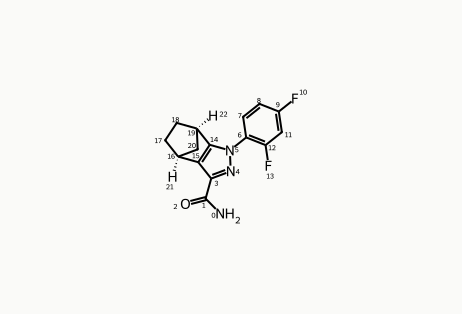 NC(=O)c1nn(-c2ccc(F)cc2F)c2c1[C@H]1CC[C@@H]2C1